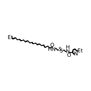 CCC=CCC=CCC=CCC=CCC=CCC=CCCC(=O)NCCSSCCNC(=O)c1ccc(CC)nc1